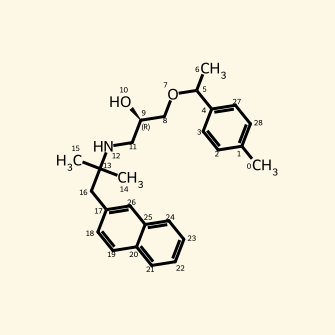 Cc1ccc(C(C)OC[C@H](O)CNC(C)(C)Cc2ccc3ccccc3c2)cc1